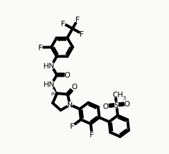 CS(=O)(=O)c1ccccc1-c1ccc(N2CC[C@@H](NC(=O)Nc3ccc(C(F)(F)F)cc3F)C2=O)c(F)c1F